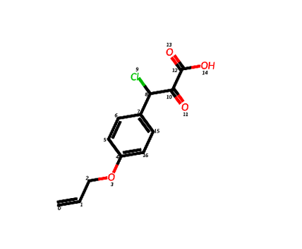 C=CCOc1ccc(C(Cl)C(=O)C(=O)O)cc1